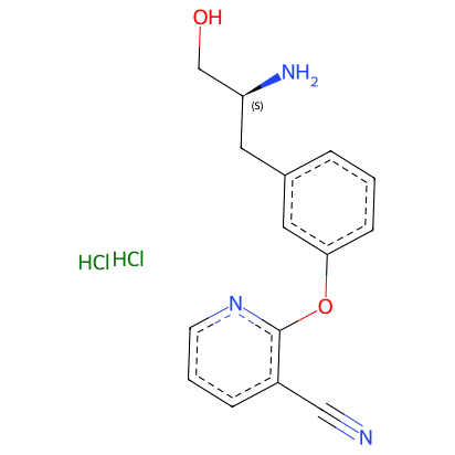 Cl.Cl.N#Cc1cccnc1Oc1cccc(C[C@H](N)CO)c1